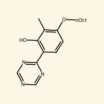 CCCCCCCCOc1ccc(-c2ncncn2)c(O)c1C